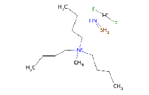 CCCC[N+](C)(CCCC)CCCC.F[H-]F.N=[SH2]